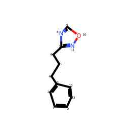 c1ccc(CCCc2ncon2)cc1